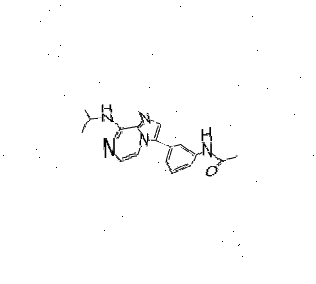 CC(=O)Nc1cccc(-c2cnc3c(NC(C)C)nccn23)c1